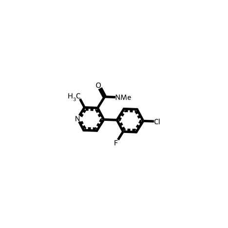 CNC(=O)c1c(-c2ccc(Cl)cc2F)ccnc1C